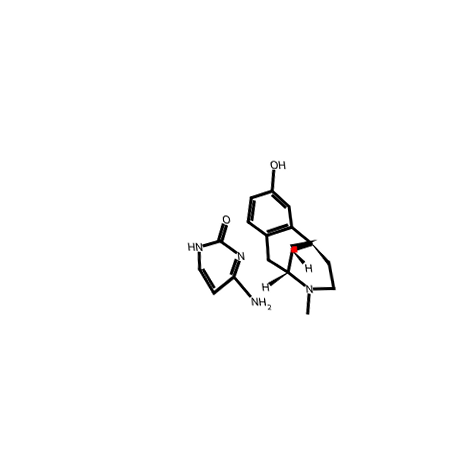 CN1CC[C@]23CCCC[C@H]2[C@H]1Cc1ccc(O)cc13.Nc1cc[nH]c(=O)n1